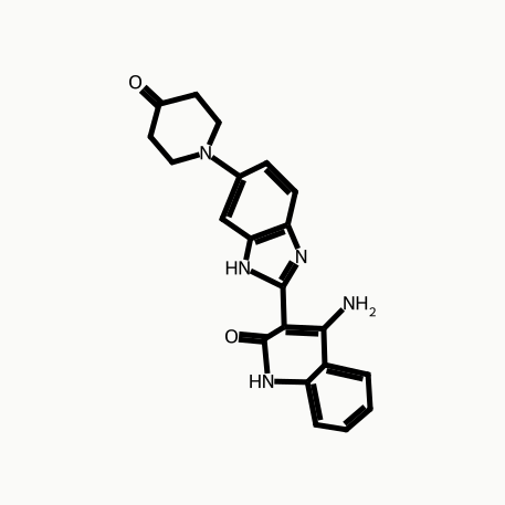 Nc1c(-c2nc3ccc(N4CCC(=O)CC4)cc3[nH]2)c(=O)[nH]c2ccccc12